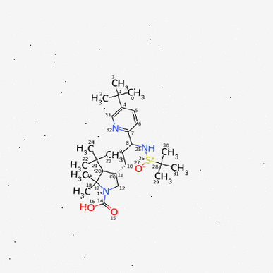 CC(C)(C)c1ccc(C(CC[C@@H]2CN(C(=O)O)C(C)(C)C2C(C)(C)C)N[S+]([O-])C(C)(C)C)nc1